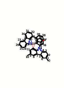 Cc1ccc2c(c1)c1cc(C)cc3c1n2-c1ccccc1B3n1c2ccccc2c2cccc(-c3ccccc3)c21